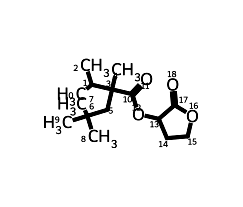 CC(C)C(C)(CC(C)(C)C)C(=O)OC1CCOC1=O